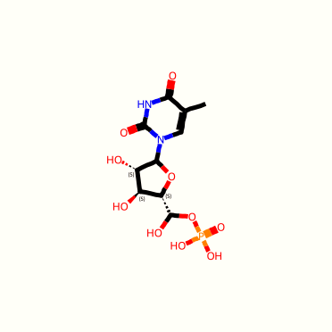 Cc1cn(C2O[C@H](C(O)OP(=O)(O)O)[C@@H](O)[C@@H]2O)c(=O)[nH]c1=O